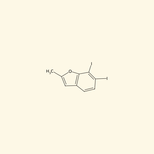 Cc1cc2ccc(I)c(I)c2o1